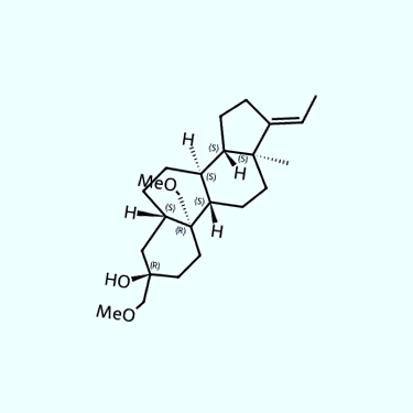 CC=C1CC[C@H]2[C@@H]3CC[C@H]4C[C@@](O)(COC)CC[C@]4(COC)[C@H]3CC[C@]12C